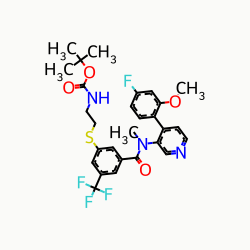 COc1cc(F)ccc1-c1ccncc1N(C)C(=O)c1cc(SCCNC(=O)OC(C)(C)C)cc(C(F)(F)F)c1